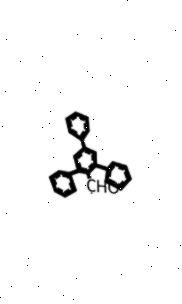 O=[C]c1c(-c2ccccc2)cc(-c2ccccc2)cc1-c1ccccc1